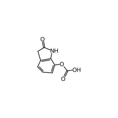 O=C1Cc2cccc(OC(=O)O)c2N1